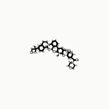 Cn1cc(-c2cccc(N3CCc4cc(C(C)(C)CO)ccc4C3=O)c2CO)cc(Nc2ccc(C(=O)N3CCOCC3)cn2)c1=O